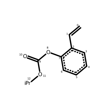 C=Cc1ccccc1OC(=O)OC(C)C